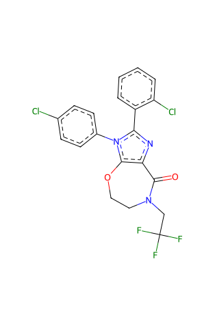 O=C1c2nc(-c3ccccc3Cl)n(-c3ccc(Cl)cc3)c2OCCN1CC(F)(F)F